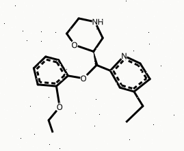 CCOc1ccccc1OC(c1cc(CC)ccn1)[C@@H]1CNCCO1